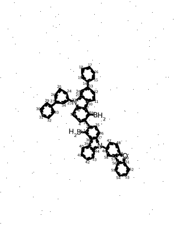 Bc1c(-c2ccc3c(c2B)c2ccc(-c4ccccc4)cc2n3-c2cccc(-c3ccccc3)c2)ccc2c1c1ccccc1n2-c1ccc2oc3ccccc3c2c1